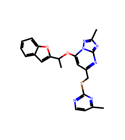 Cc1ccnc(SCc2cc(OC(C)c3cc4ccccc4o3)n3nc(C)nc3n2)n1